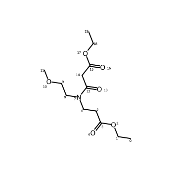 CCOC(=O)CCN(CCOC)C(=O)CC(=O)OCC